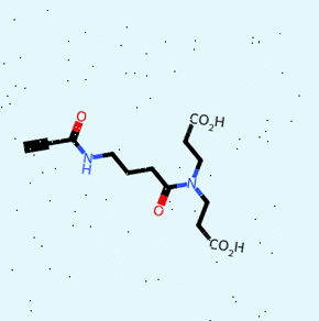 C#CC(=O)NCCCC(=O)N(CCC(=O)O)CCC(=O)O